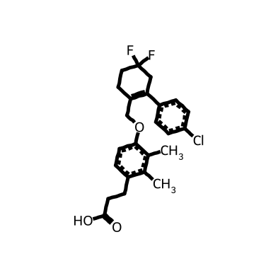 Cc1c(CCC(=O)O)ccc(OCC2=C(c3ccc(Cl)cc3)CC(F)(F)CC2)c1C